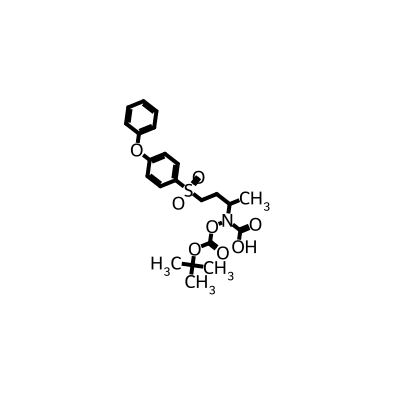 CC(CCS(=O)(=O)c1ccc(Oc2ccccc2)cc1)N(OC(=O)OC(C)(C)C)C(=O)O